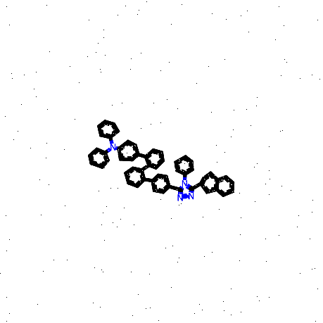 c1ccc(N(c2ccccc2)c2ccc(-c3ccccc3-c3ccccc3-c3ccc(-c4nnc(-c5ccc6ccccc6c5)n4-c4ccccc4)cc3)cc2)cc1